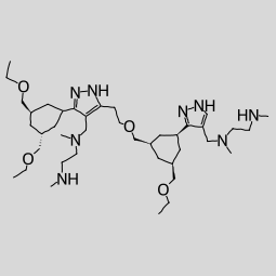 CCOC[C@H]1CC(c2n[nH]c(CCOC[C@@H]3C[C@H](COCC)C[C@H](c4n[nH]cc4CN(C)CCNC)C3)c2CN(C)CCNC)C[C@H](COCC)C1